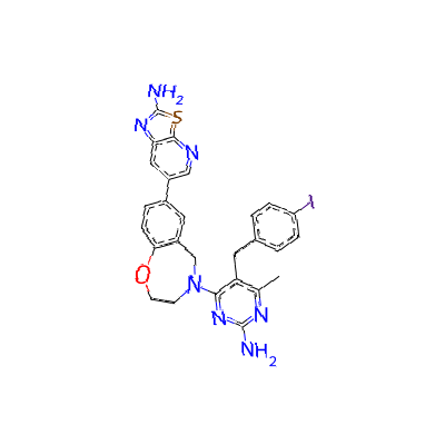 Cc1nc(N)nc(N2CCOc3ccc(-c4cnc5sc(N)nc5c4)cc3C2)c1Cc1ccc(I)cc1